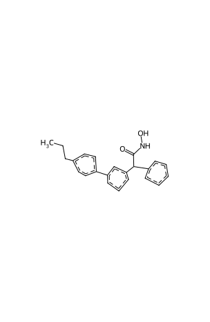 CCCc1ccc(-c2cccc(C(C(=O)NO)c3ccccc3)c2)cc1